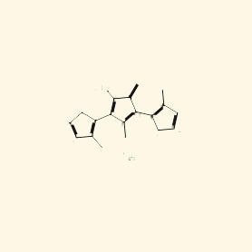 C=C1[C]([Zr+2])=C(C2=C(C)C=CC2)C(C)=C1C1=C(C)C=CC1.[Cl-].[Cl-]